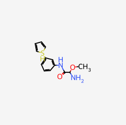 COC(N)C(=O)Nc1cccc([SH]2C=CC=C2)c1